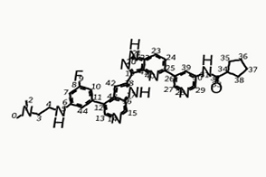 CN(C)CCNc1cc(F)cc(-c2cncc3[nH]c(-c4n[nH]c5ccc(-c6cncc(NC(=O)C7CCCC7)c6)nc45)cc23)c1